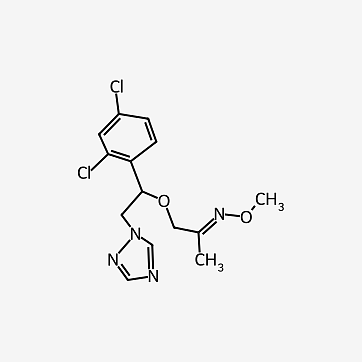 CON=C(C)COC(Cn1cncn1)c1ccc(Cl)cc1Cl